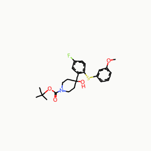 COc1cccc(Sc2ccc(F)cc2C2(O)CCN(C(=O)OC(C)(C)C)CC2)c1